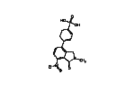 CN1Cc2c(C3=CC=C(P(=O)(O)O)CC3)ccc([N+](=O)[O-])c2C1=O